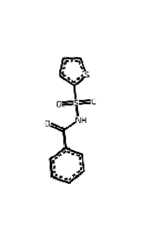 O=C(NS(=O)(=O)c1cccs1)c1ccccc1